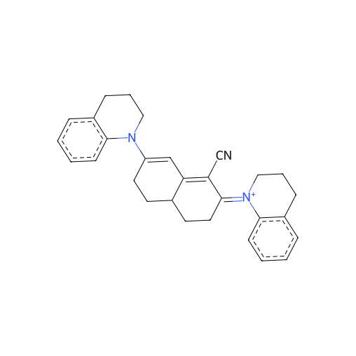 N#CC1=C2C=C(N3CCCc4ccccc43)CCC2CC/C1=[N+]1/CCCc2ccccc21